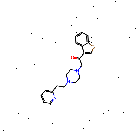 O=C(CN1CCN(CCc2ccccn2)CC1)c1csc2ccccc12